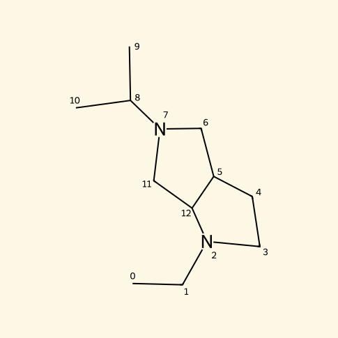 CCN1CCC2CN(C(C)C)CC21